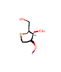 OCC1SCC(OI)[C@@H]1O